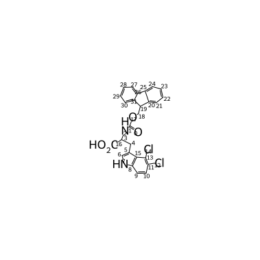 O=C(NC(Cc1c[nH]c2ccc(Cl)c(Cl)c12)C(=O)O)OCC1c2ccccc2-c2ccccc21